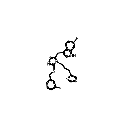 Cc1cccc(CSc2nnc(Cc3c[nH]c4cc(F)ccc34)n2CCCc2c[nH]cn2)c1